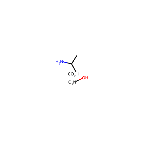 CC(N)C(=O)O.O=[N+]([O-])O